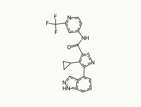 O=C(Nc1ccnc(C(F)(F)F)c1)c1snc(-c2cccc3[nH]ncc23)c1C1CC1